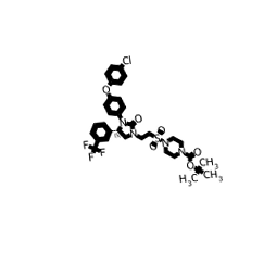 CC(C)(C)OC(=O)N1CCN(S(=O)(=O)CCN2C[C@H](c3cccc(C(F)(F)F)c3)N(c3ccc(Oc4ccc(Cl)cc4)cc3)C2=O)CC1